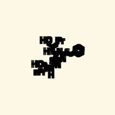 CCCC(CO)Nc1nc2nc(SCc3ccccc3)nc(N[C@@H](CO)CC(C)C)c2s1